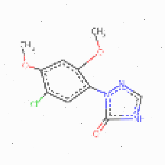 COc1cc(OC)c(-n2nc[nH]c2=O)cc1Cl